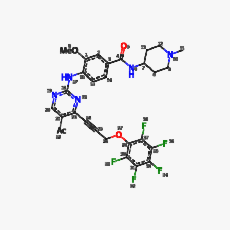 COc1cc(C(=O)NC2CCN(C)CC2)ccc1Nc1ncc(C(C)=O)c(C#CCOc2c(F)c(F)c(F)c(F)c2F)n1